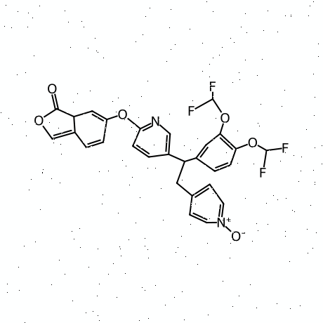 O=C1OC=C2C=CC(Oc3ccc(C(Cc4cc[n+]([O-])cc4)c4ccc(OC(F)F)c(OC(F)F)c4)cn3)=CC12